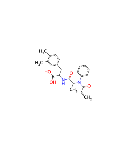 C=CC(=O)N(c1ccccc1)C(C)C(=O)NC(Cc1ccc(C)c(C)c1)B(O)O